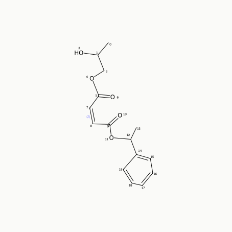 CC(O)COC(=O)/C=C\C(=O)OC(C)c1ccccc1